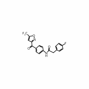 O=C(Cc1ccc(F)cc1)Nc1ccc(C(=O)c2cc(C(F)(F)F)on2)cc1